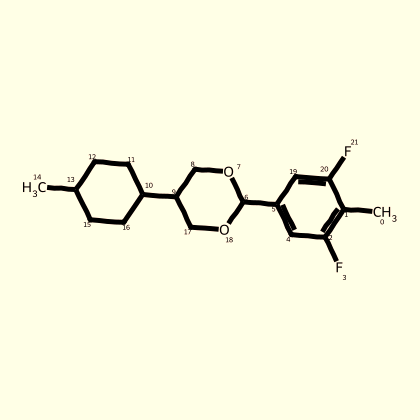 Cc1c(F)cc(C2OCC(C3CCC(C)CC3)CO2)cc1F